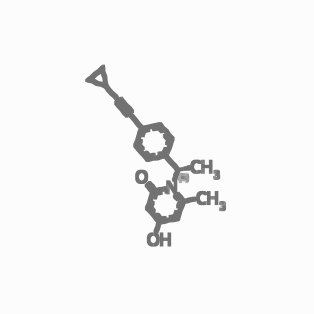 Cc1cc(O)cc(=O)n1[C@H](C)c1ccc(C#CC2CC2)cc1